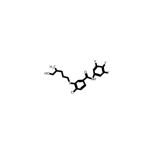 CC(CO)CCCSc1cc(C(=O)Nc2cc(F)c(F)c(F)c2)ccc1Cl